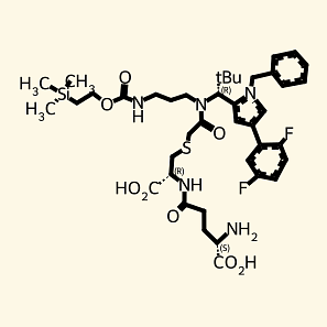 CC(C)(C)[C@H](c1cc(-c2cc(F)ccc2F)cn1Cc1ccccc1)N(CCCNC(=O)OCC[Si](C)(C)C)C(=O)CSC[C@H](NC(=O)CC[C@H](N)C(=O)O)C(=O)O